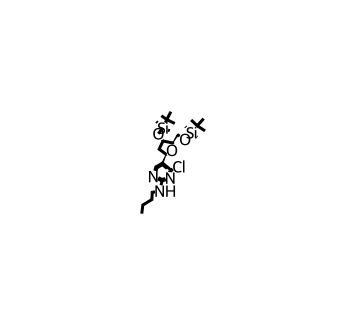 CCCCNc1ncc([C@H]2CC(O[Si](C)(C)C(C)(C)C)[C@@H](CO[Si](C)(C)C(C)(C)C)O2)c(Cl)n1